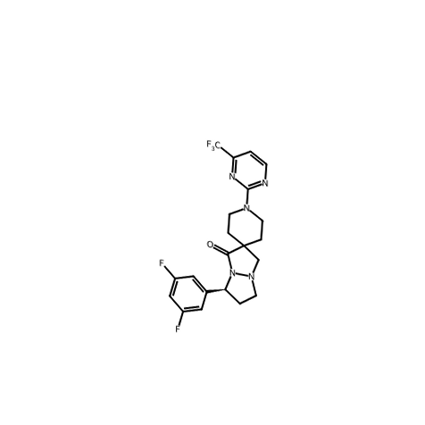 O=C1N2[C@H](c3cc(F)cc(F)c3)CCN2CC12CCN(c1nccc(C(F)(F)F)n1)CC2